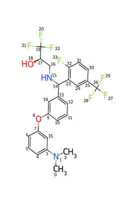 CN(C)c1cccc(Oc2cccc(C(NC[C@@H](O)C(F)(F)F)c3cc(C(F)(F)F)ccc3F)c2)c1